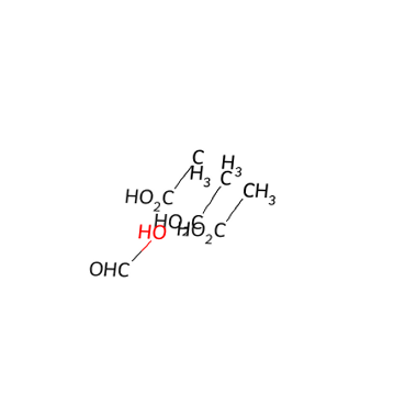 CC(=O)O.CC(=O)O.CC(=O)O.O=CO